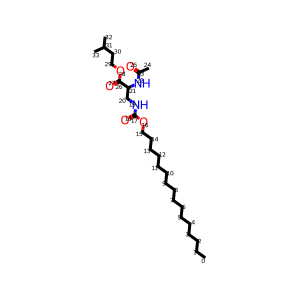 CCCCCCCCCCCCCCCCOC(=O)NCC(NC(C)=O)C(=O)OCCC(C)C